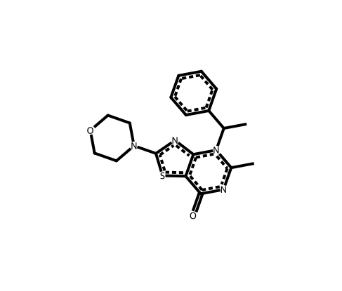 Cc1nc(=O)c2sc(N3CCOCC3)nc2n1C(C)c1ccccc1